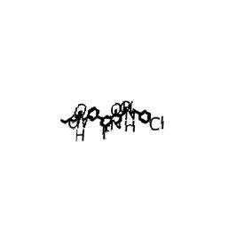 CCCOC(=O)Nc1cccc(-c2cc(F)c3ncc(C(=O)NCc4ccc(Cl)cc4)c(O)c3c2)c1